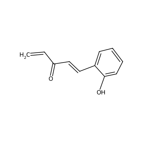 C=CC(=O)C=Cc1ccccc1O